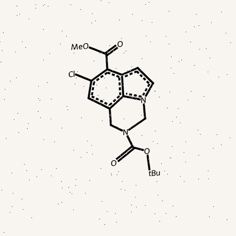 COC(=O)c1c(Cl)cc2c3c1ccn3CN(C(=O)OC(C)(C)C)C2